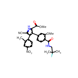 COC(=O)c1[nH]c(C#N)c(-c2ccc([N+](=O)[O-])cc2C)c1-c1ccc(C(=O)NCC(C)(C)F)c(OC)c1